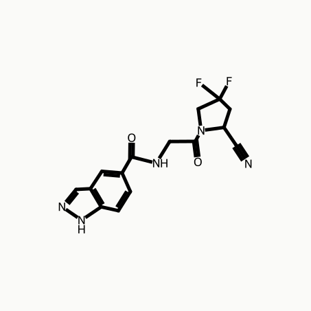 N#CC1CC(F)(F)CN1C(=O)CNC(=O)c1ccc2[nH]ncc2c1